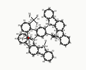 Cn1c2ccccc2c2ccc3c4ccccc4n(-c4cc(-c5c(C(F)(F)F)cccc5C(F)(F)F)c(-n5c6ccccc6c6ccc7c8ccccc8n(C)c7c65)cc4C#N)c3c21